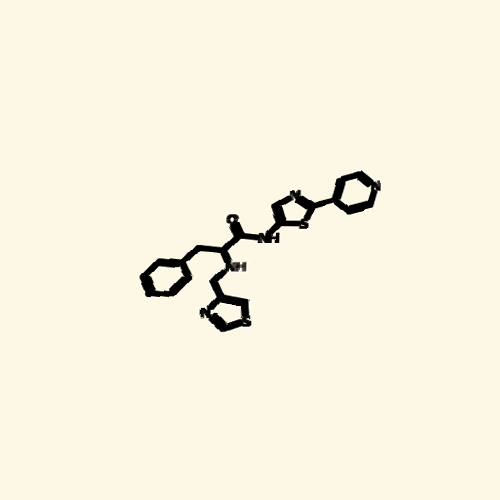 O=C(Nc1cnc(-c2ccncc2)s1)C(Cc1ccccc1)NCc1cscn1